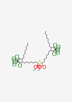 CCCCCCCCC1C(CCCCCCC(SC(CCCCCCC2C(CCCCCCCC)C3(Cl)C(Cl)=C(Cl)C2(Cl)C3(Cl)Cl)C(=O)OCC)C(=O)OCC)C2(Cl)C(Cl)=C(Cl)C1(Cl)C2(Cl)Cl